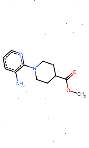 COC(=O)C1CCN(c2ncccc2N)CC1